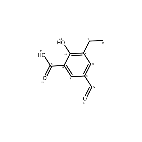 CCc1cc(C=O)cc(C(=O)O)c1O